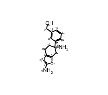 Nc1nc2c(s1)CC(N)(c1cccc(CO)c1)CC2